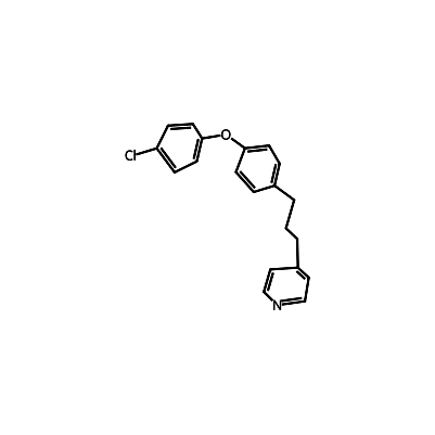 Clc1ccc(Oc2ccc(CCCc3ccncc3)cc2)cc1